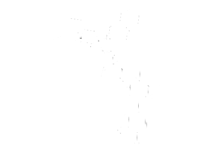 CCCCC(=O)NC(CCC(C)C)(NC(=O)C1CCCCN1C)c1nc(C(=O)N(C)C(CCc2ccc(O)c(N)c2)C(C)C(=O)O)c(C)s1